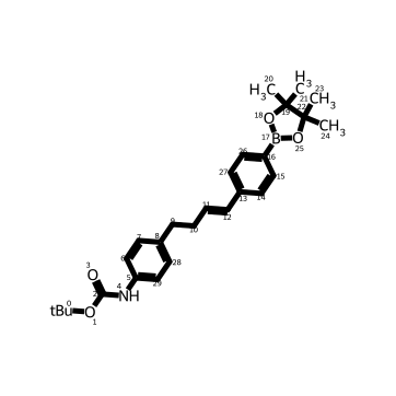 CC(C)(C)OC(=O)Nc1ccc(CC/C=C/c2ccc(B3OC(C)(C)C(C)(C)O3)cc2)cc1